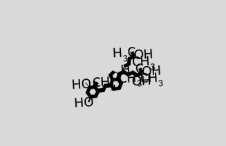 C=C1/C(=C\C=C2/CCC[C@@]3(C)C2CC[C@@H]3[C@H](CCCC(C)(C)O)CC[C@@H](O)C(C)(C)O)C[C@@H](O)C[C@@H]1O